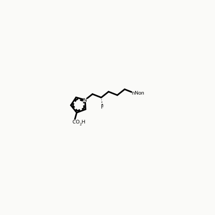 CCCCCCCCCCCC[C@H](F)Cn1ccc(C(=O)O)c1